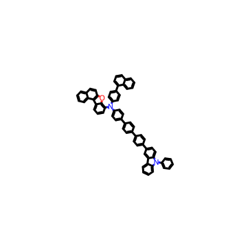 c1ccc(-n2c3ccccc3c3cc(-c4ccc(-c5ccc(-c6ccc(N(c7ccc(-c8cccc9ccccc89)cc7)c7cccc8c7oc7ccc9ccccc9c78)cc6)cc5)cc4)ccc32)cc1